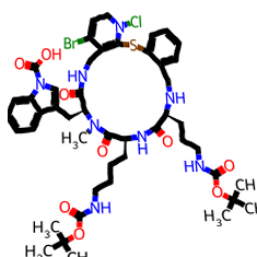 CN1C(=O)[C@H](CCCCNC(=O)OC(C)(C)C)NC(=O)[C@H](CCCNC(=O)OC(C)(C)C)NCc2ccccc2SC2=C(CNC(=O)[C@@H]1Cc1cn(C(=O)O)c3ccccc13)C(Br)=CCN2Cl